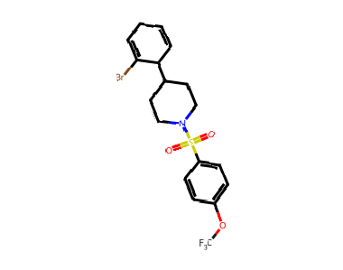 O=S(=O)(c1ccc(OC(F)(F)F)cc1)N1CCC(C2C=CCC=C2Br)CC1